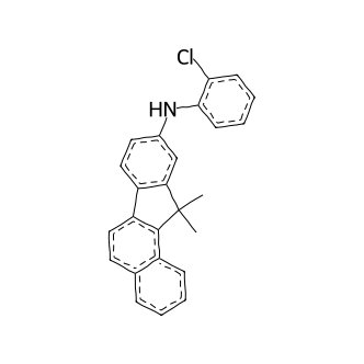 CC1(C)c2cc(Nc3ccccc3Cl)ccc2-c2ccc3ccccc3c21